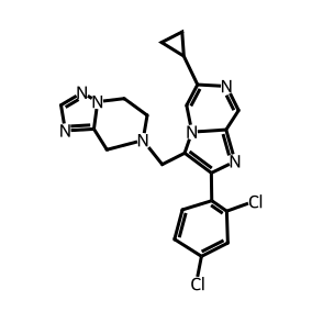 Clc1ccc(-c2nc3cnc(C4CC4)cn3c2CN2CCn3ncnc3C2)c(Cl)c1